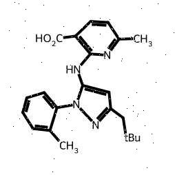 Cc1ccc(C(=O)O)c(Nc2cc(CC(C)(C)C)nn2-c2ccccc2C)n1